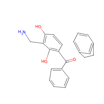 NCc1c(O)ccc(C(=O)c2ccccc2)c1O.c1cc2cc(c1)CC2